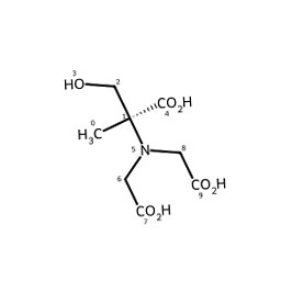 C[C@](CO)(C(=O)O)N(CC(=O)O)CC(=O)O